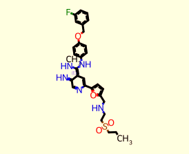 CCCS(=O)(=O)CCNCc1ccc(C2=C/C(=C(/NC)Nc3ccc(OCc4cccc(F)c4)cc3)C(=N)C=N2)o1